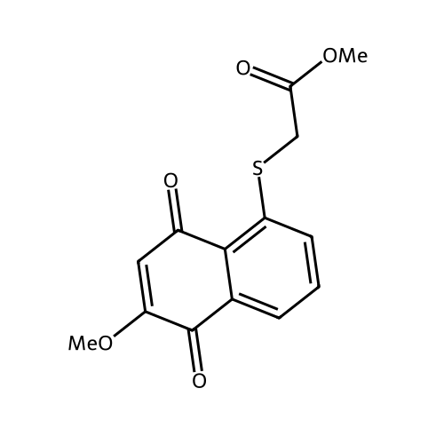 COC(=O)CSc1cccc2c1C(=O)C=C(OC)C2=O